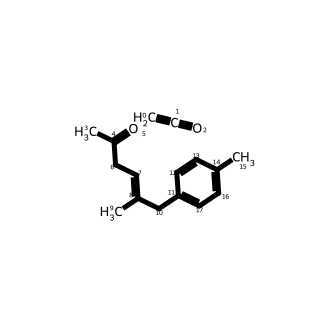 C=C=O.CC(=O)CC=C(C)Cc1ccc(C)cc1